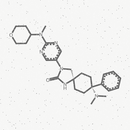 CN(c1ncc(N2C[C@]3(CC[C@@](c4ccccc4)(N(C)C)CC3)NC2=O)cn1)C1CCOCC1